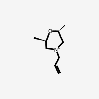 C=CC[N+]1C[C@@H](C)O[C@H](C)C1